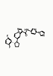 O=C(Nc1ccc(-n2ccnc2)nc1)c1cnn2ccc(N3CCC[C@@H]3c3cc(F)ccc3F)cc12